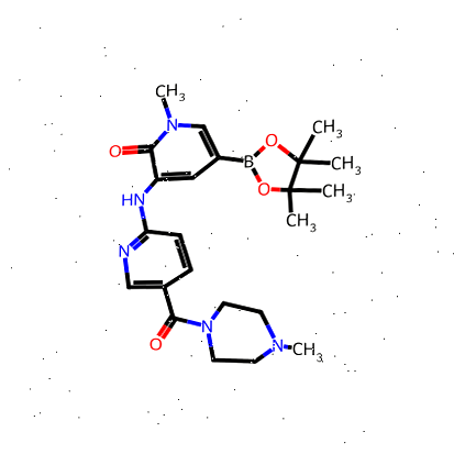 CN1CCN(C(=O)c2ccc(Nc3cc(B4OC(C)(C)C(C)(C)O4)cn(C)c3=O)nc2)CC1